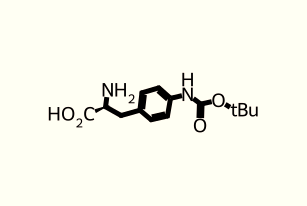 CC(C)(C)OC(=O)Nc1ccc(C[C@H](N)C(=O)O)cc1